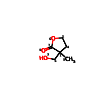 CC1(CO)CCOC1=O